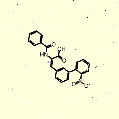 O=C(O)/C(=C\c1cccc(-c2ccccc2[N+](=O)[O-])c1)NC(=O)c1ccccc1